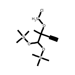 C#CC(C)(O[SiH2]Cl)C(O[Si](C)(C)C)O[Si](C)(C)C